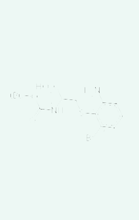 CC(C)(C)OC(=O)NC(CSc1c(N)cccc1Br)C(=O)O